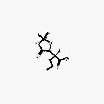 CCC[C@@](C)(C(=O)O)[C@@H]1OC(C)(C)OC1=O